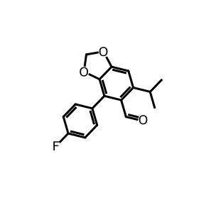 CC(C)c1cc2c(c(-c3ccc(F)cc3)c1C=O)OCO2